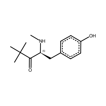 CN[C@@H](Cc1ccc(O)cc1)C(=O)C(C)(C)C